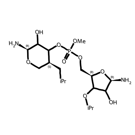 COP(=O)(OC[C@H]1O[C@@H](N)C(O)C1OC(C)C)OC1C(O)[C@H](N)OC[C@@H]1CC(C)C